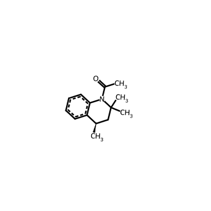 CC(=O)N1c2ccccc2[C@H](C)CC1(C)C